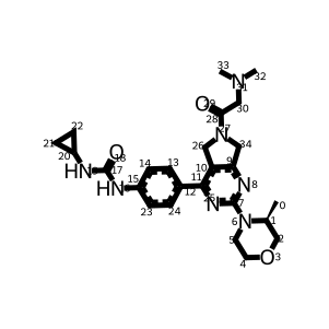 C[C@H]1COCCN1c1nc2c(c(-c3ccc(NC(=O)NC4CC4)cc3)n1)CN(C(=O)CN(C)C)C2